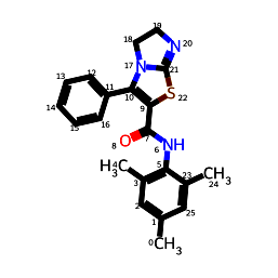 Cc1cc(C)c(NC(=O)C2=C(c3ccccc3)N3CCN=C3S2)c(C)c1